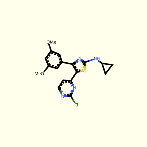 COc1cc(OC)cc(-c2nc(NC3CC3)sc2-c2ccnc(Cl)n2)c1